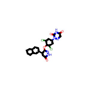 O=c1cc(-c2ccc3ccccc3c2)c(Oc2c(Cl)cc(-n3ncc(=O)[nH]c3=O)cc2Cl)n[nH]1